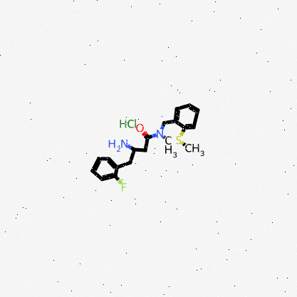 CSc1ccccc1CN(C)C(=O)CC(N)Cc1ccccc1F.Cl